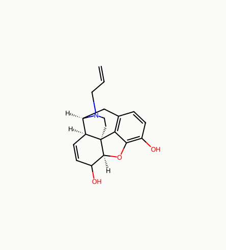 C=CCN1CC[C@]23c4c5ccc(O)c4O[C@H]2C(O)C=C[C@H]3[C@H]1C5